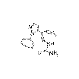 CC(=NNC(N)=O)c1ccnn1-c1ccccc1